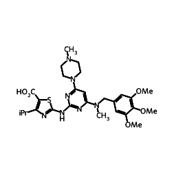 COc1cc(CN(C)c2cc(N3CCN(C)CC3)nc(Nc3nc(C(C)C)c(C(=O)O)s3)n2)cc(OC)c1OC